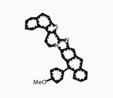 COc1ccc(-c2c3ccccc3cc3cc4nc5c6sc7ccc8ccccc8c7c6ccn5c4cc23)cc1